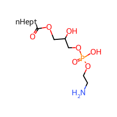 CCCCCCCC(=O)OCC(O)COP(=O)(O)OCCN